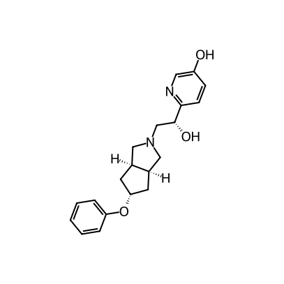 Oc1ccc([C@H](O)CN2C[C@H]3C[C@H](Oc4ccccc4)C[C@H]3C2)nc1